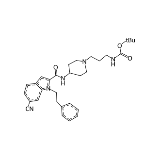 CC(C)(C)OC(=O)NCCCN1CCC(NC(=O)c2cc3ccc(C#N)cc3n2CCc2ccccc2)CC1